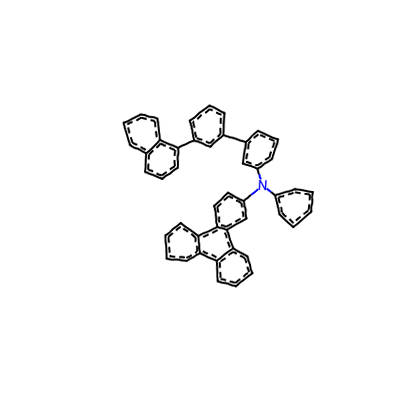 c1ccc(N(c2cccc(-c3cccc(-c4cccc5ccccc45)c3)c2)c2ccc3c4ccccc4c4ccccc4c3c2)cc1